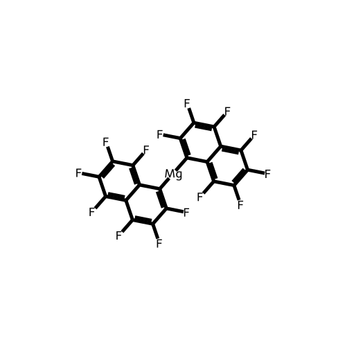 Fc1c(F)c(F)c2[c]([Mg][c]3c(F)c(F)c(F)c4c(F)c(F)c(F)c(F)c34)c(F)c(F)c(F)c2c1F